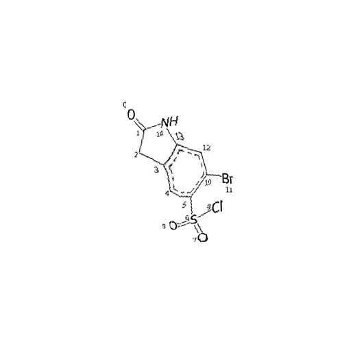 O=C1Cc2cc(S(=O)(=O)Cl)c(Br)cc2N1